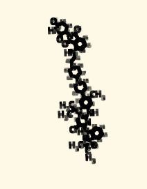 Cc1cc(Nc2ncc(Cl)c(Nc3ccccc3S(=O)(=O)C(C)C)n2)c(OC(C)C)cc1C1CCN(C2CCN(CCNc3cccc4c3C(=O)N(C3CCC(=O)NC3=O)C4=O)CC2)CC1